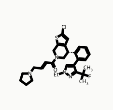 CCn1cc(-c2ccccc2[C@@H]2CN(C(=O)/C=C/CN3CCCC3)Cc3sc(Cl)cc32)c(C(C)(C)F)n1